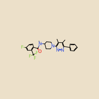 Cc1c(-c2ccccc2)nnc(N2CCC(N(C)C(=O)c3ccc(F)cc3C(F)(F)F)CC2)c1C